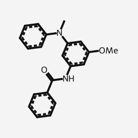 COc1cc(NC(=O)c2ccccc2)cc(N(C)c2ccccc2)c1